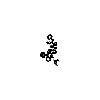 CCN(CC)CCN1C(=O)C(NC(=O)[C@H](C)NC(=O)C(O)Cc2ccccc2)N=C(c2ccccn2)c2ccccc21